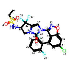 CCS(=O)(=O)N[C@@H]1Cn2c(cn(-c3noc4cc(Cl)cc(-c5c(F)cccc5F)c34)c2=O)C1(F)F